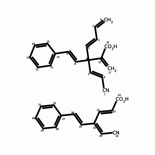 C=CC=CC(C=CC#N)(C=Cc1ccccc1)C(=C)C(=O)O.N#CC=C(C=CC(=O)O)C=Cc1ccccc1